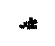 Cc1ccc(-c2cncc3[nH]c(-c4n[nH]c5cnc(-c6cncc(CN7CCCCC7)c6)cc45)nc23)s1